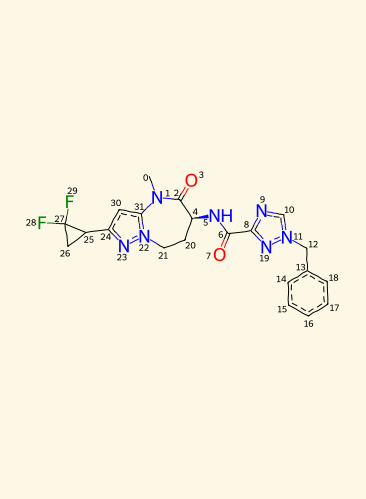 CN1C(=O)[C@@H](NC(=O)c2ncn(Cc3ccccc3)n2)CCn2nc(C3CC3(F)F)cc21